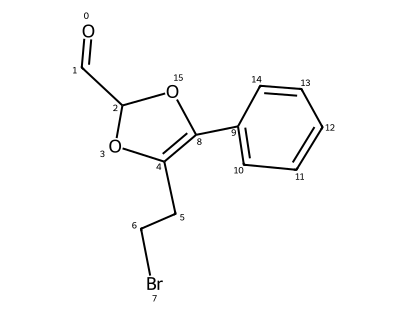 O=CC1OC(CCBr)=C(c2ccccc2)O1